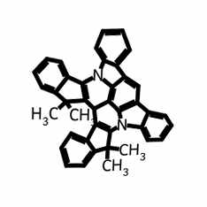 CC1(C)C2=C(c3ccccc31)n1c3ccccc3c3cc4c5ccccc5n5c4c(c31)C2C1=C5C(C)(C)c2ccccc21